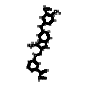 COC(=O)c1cccc(OCc2nc3ccc(Oc4ccc(C)c(OC)n4)cc3n2C)c1